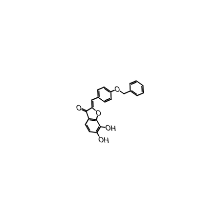 O=C1C(=Cc2ccc(OCc3ccccc3)cc2)Oc2c1ccc(O)c2O